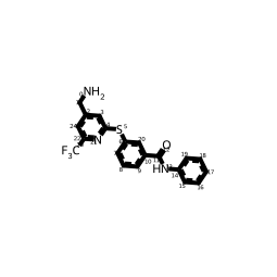 NCc1cc(Sc2cccc(C(=O)Nc3ccccc3)c2)nc(C(F)(F)F)c1